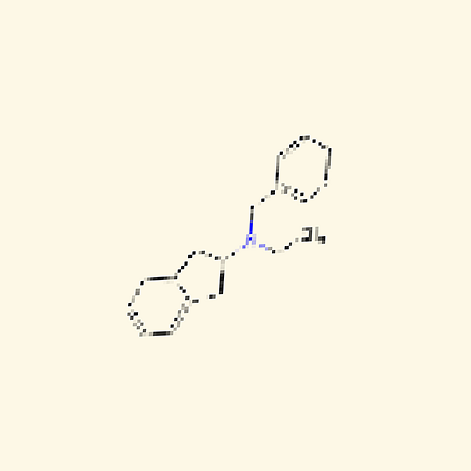 CCN(Cc1ccccc1)C1Cc2ccccc2C1